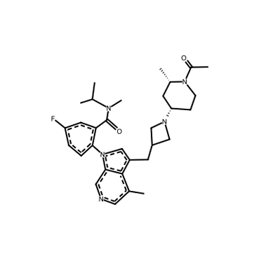 CC(=O)N1CC[C@H](N2CC(Cc3cn(-c4ccc(F)cc4C(=O)N(C)C(C)C)c4cncc(C)c34)C2)C[C@@H]1C